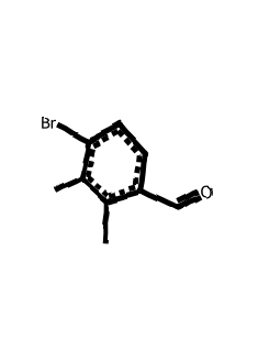 Cc1c(Br)ccc(C=O)c1C